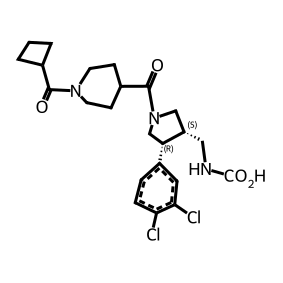 O=C(O)NC[C@H]1CN(C(=O)C2CCN(C(=O)C3CCC3)CC2)C[C@H]1c1ccc(Cl)c(Cl)c1